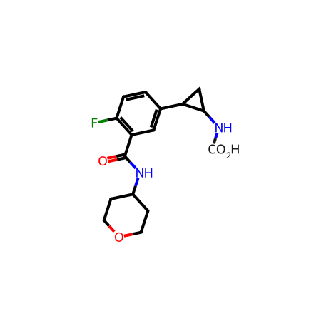 O=C(O)NC1CC1c1ccc(F)c(C(=O)NC2CCOCC2)c1